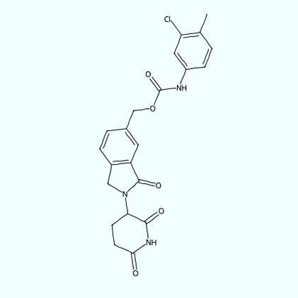 Cc1ccc(NC(=O)OCc2ccc3c(c2)C(=O)N(C2CCC(=O)NC2=O)C3)cc1Cl